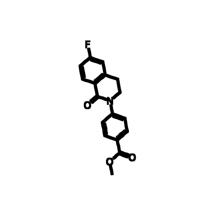 COC(=O)c1ccc(N2CCc3cc(F)ccc3C2=O)cc1